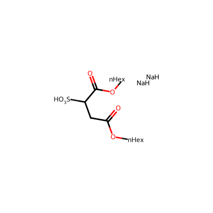 CCCCCCOC(=O)CC(C(=O)OCCCCCC)S(=O)(=O)O.[NaH].[NaH]